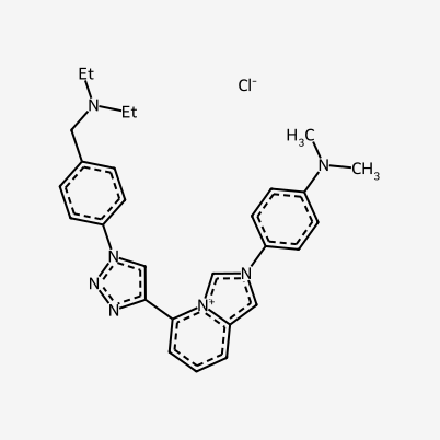 CCN(CC)Cc1ccc(-n2cc(-c3cccc4cn(-c5ccc(N(C)C)cc5)c[n+]34)nn2)cc1.[Cl-]